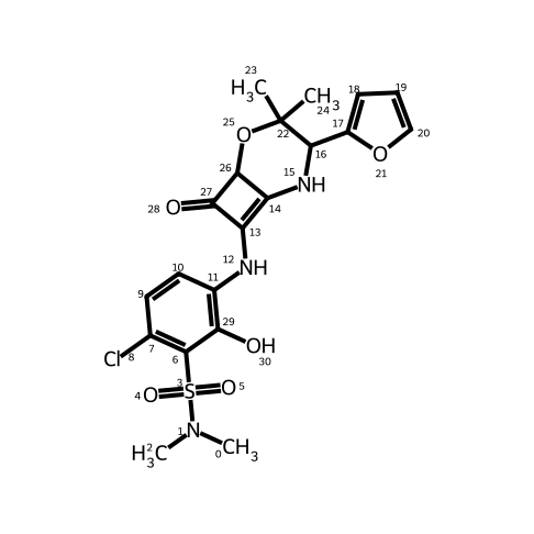 CN(C)S(=O)(=O)c1c(Cl)ccc(NC2=C3NC(c4ccco4)C(C)(C)OC3C2=O)c1O